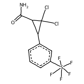 NC(=O)C1C(c2cccc(S(F)(F)(F)(F)F)c2)C1(Cl)Cl